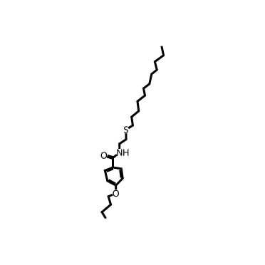 CCCCCCCCCCCCSCCNC(=O)c1ccc(OCCCC)cc1